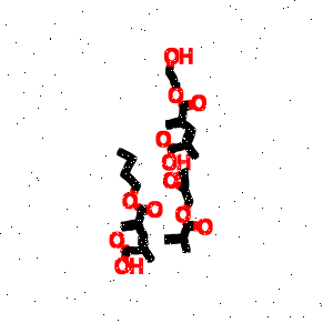 C=C(C)C(=O)OCC1CO1.C=C(C=C(C)C(=O)O)C(=O)OCCCC.C=C(C=C(C)C(=O)O)C(=O)OCCO